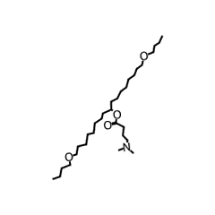 CCCCOCCCCCCCCC(CCCCCCCCOCCCC)OC(=O)CCCN(C)C